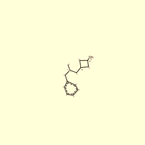 CN(Cc1ccccc1)CC1CC(O)C1